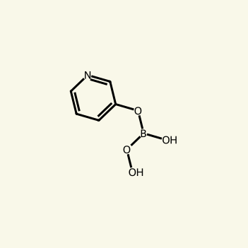 OOB(O)Oc1cccnc1